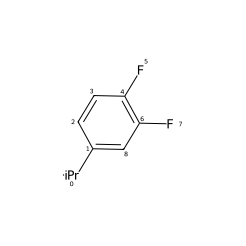 C[C](C)c1ccc(F)c(F)c1